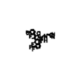 COc1cccc(-c2c(C)c(Cc3c(F)cccc3C(F)(F)F)c3n(c2=O)C(CNCc2cnn(C)c2)CS3)c1F